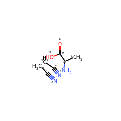 CC#N.CC#N.CC(N)C(=O)O